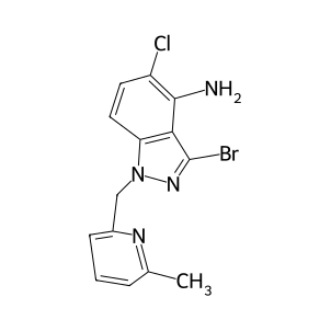 Cc1cccc(Cn2nc(Br)c3c(N)c(Cl)ccc32)n1